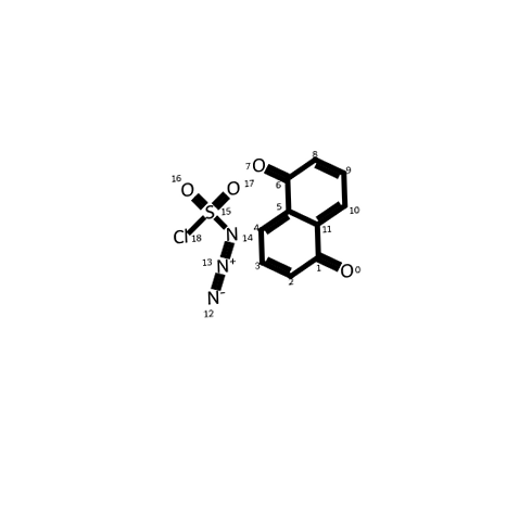 O=C1C=CC=C2C(=O)C=CC=C12.[N-]=[N+]=NS(=O)(=O)Cl